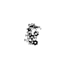 CCC1NC2C=CC=CC2N1C1NC2=C(NC(OC3CN(C(=O)C(C)(C)N=NN)C3)N2)C(N2CCOCC2)N1